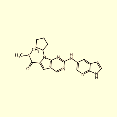 CN(C)C(=O)c1cc2cnc(Nc3cnc4[nH]ccc4c3)nc2n1C1CCCC1